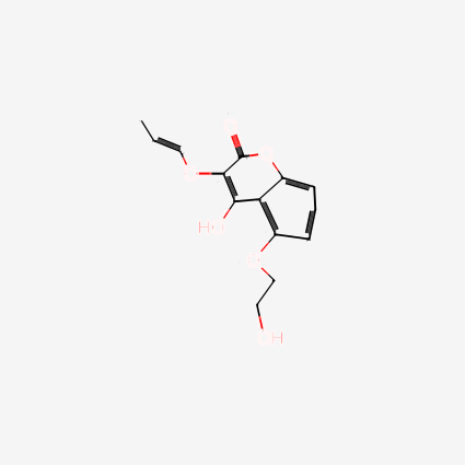 CC=COc1c(O)c2c(OCCO)cccc2oc1=O